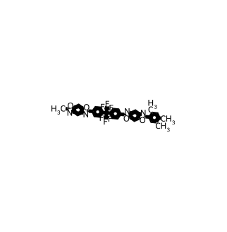 Cc1nc2cc3nc(-c4ccc(C(c5ccc(-c6nc7cc8nc(-c9cc(C)c(C)cc9C)oc8cc7o6)cc5)(C(F)(F)F)C(F)(F)F)cc4)oc3cc2o1